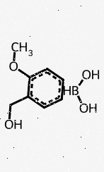 COc1ccccc1CO.OBO